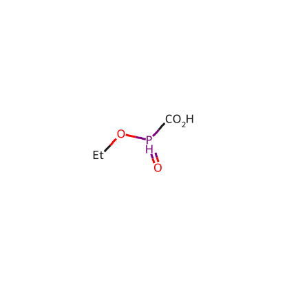 CCO[PH](=O)C(=O)O